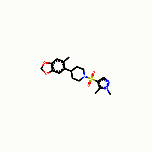 Cc1cc2c(cc1C1CCN(S(=O)(=O)c3cnn(C)c3C)CC1)OCO2